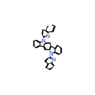 C/C=C\c1nc(-n2c3ccccc3c3cc4c(cc32)c2ccccc2n4-c2ccc3ccccc3n2)ccc1C